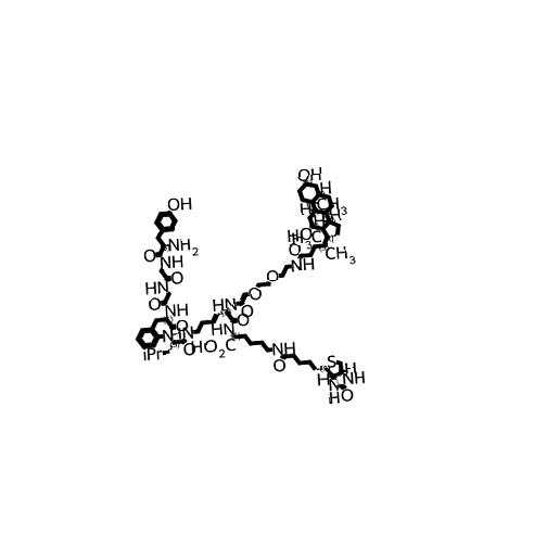 CC(C)C[C@@H](C(=O)NCCCC[C@H](NC(=O)COCCOCCNC(=O)CC[C@H](C)[C@H]1CC[C@H]2[C@@H]3CC[C@@H]4C[C@H](O)CC[C@]4(C)[C@H]3C[C@H](O)C12C)C(=O)N[C@@H](CCCCNC(=O)CCCC[C@@H]1SC[C@@H]2NC(=O)N[C@@H]21)C(=O)O)N1C(=O)[C@@H](NC(=O)CNC(=O)CNC(=O)[C@@H](N)Cc2ccc(O)cc2)Cc2ccccc21